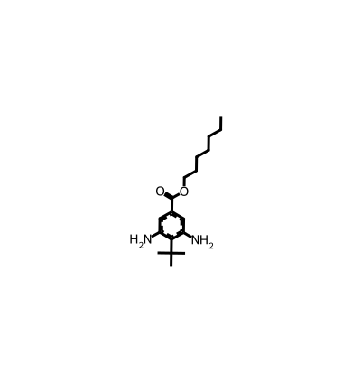 CCCCCCCOC(=O)c1cc(N)c(C(C)(C)C)c(N)c1